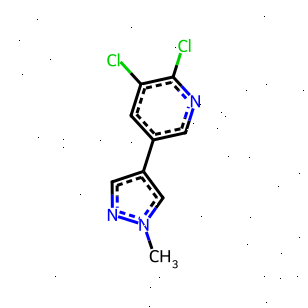 Cn1cc(-c2cnc(Cl)c(Cl)c2)cn1